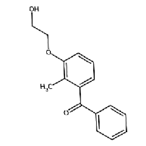 Cc1c(OCCO)cccc1C(=O)c1ccccc1